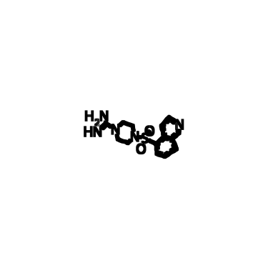 N=C(N)N1CCN(S(=O)(=O)c2cccc3cnccc23)CC1